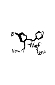 COCc1cc(Br)cnc1[C@@H](N[S@+]([O-])C(C)(C)C)C1CCOCC1